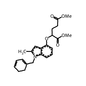 COC(=O)CCC(Oc1cccc2c1cc(C)n2CC1=CC=CCC1)C(=O)OC